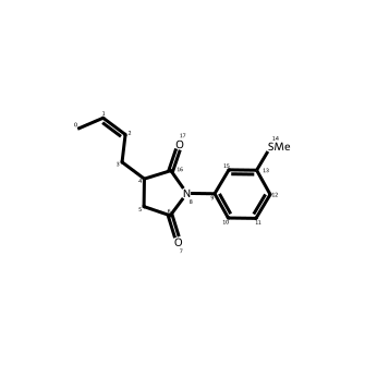 C/C=C\CC1CC(=O)N(c2cccc(SC)c2)C1=O